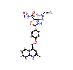 Cc1cc(COc2ccc(C(=O)NC3(CC(=O)NO)CN(CC(C)(C)C)C3)cc2)c2ccccc2n1